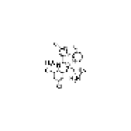 CN(C(=O)c1cc(Br)nn1-c1ncccc1Cl)c1c(Cl)cc(Cl)cc1C(=O)O.NC1CC1